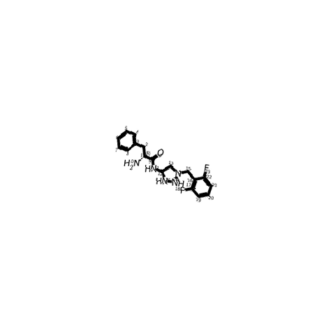 N[C@H](Cc1ccccc1)C(=O)NC1CN(Cc2c(F)cccc2F)NN1